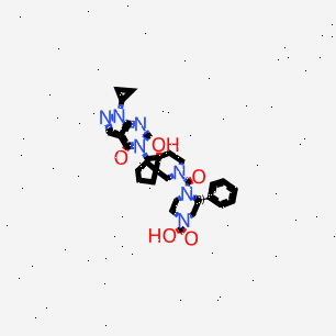 O=C(O)N1CCN(C(=O)N2CCC(O)(Cn3cnc4c(cnn4C4CC4)c3=O)C3(CCCC3)C2)[C@H](c2ccccc2)C1